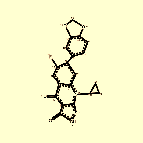 O=c1[nH]sc2c1c(=O)c1cc(F)c(-c3ccc4c(c3)OCO4)cc1n2C1CC1